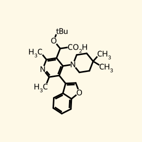 Cc1nc(C)c(C(OC(C)(C)C)C(=O)O)c(N2CCC(C)(C)CC2)c1-c1coc2ccccc12